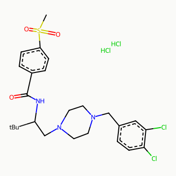 CC(C)(C)C(CN1CCN(Cc2ccc(Cl)c(Cl)c2)CC1)NC(=O)c1ccc(S(C)(=O)=O)cc1.Cl.Cl